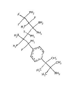 BC(P)(C(F)(P)c1ccc(C(C)(C)C(C)(C)P)cc1)C(F)(P)C(B)(P)C(F)(P)C(F)(P)I